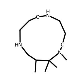 CC1CNCCCNCCCN(C)C1(C)C